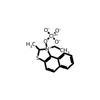 CC[N+]1(O[Cl+3]([O-])([O-])[O-])c2c(ccc3ccccc23)SC1C